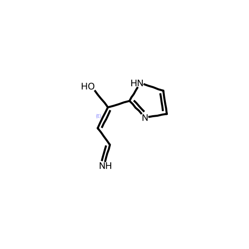 N=C/C=C(/O)c1ncc[nH]1